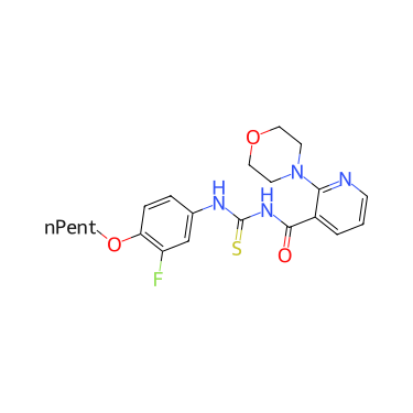 CCCCCOc1ccc(NC(=S)NC(=O)c2cccnc2N2CCOCC2)cc1F